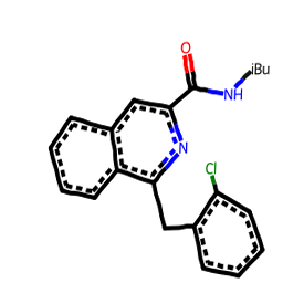 CCC(C)NC(=O)c1cc2ccccc2c(Cc2ccccc2Cl)n1